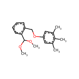 COC(OC)c1ccccc1COc1cc(C)c(C)c(C)c1